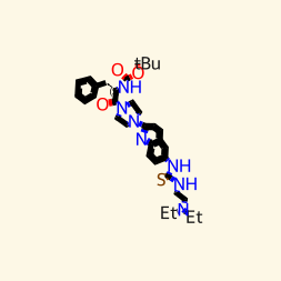 CCN(CC)CCNC(=S)Nc1ccc2nc(N3CCN(C(=O)[C@H](Cc4ccccc4)NC(=O)OC(C)(C)C)CC3)ccc2c1